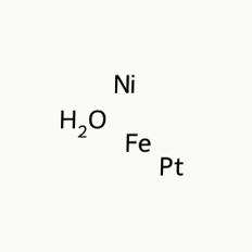 O.[Fe].[Ni].[Pt]